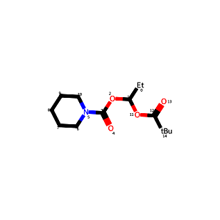 CCC(OC(=O)N1CCCCC1)OC(=O)C(C)(C)C